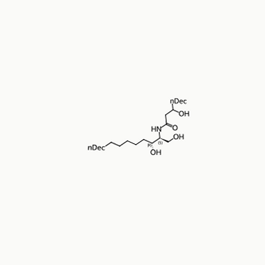 CCCCCCCCCCCCCCC[C@@H](O)[C@H](CO)NC(=O)CC(O)CCCCCCCCCC